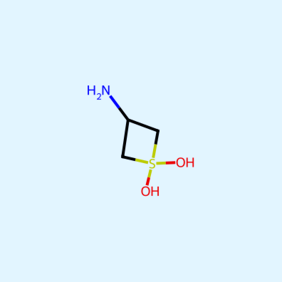 NC1CS(O)(O)C1